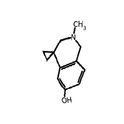 CN1Cc2ccc(O)cc2C2(CC2)C1